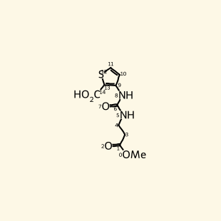 COC(=O)CCNC(=O)Nc1ccsc1C(=O)O